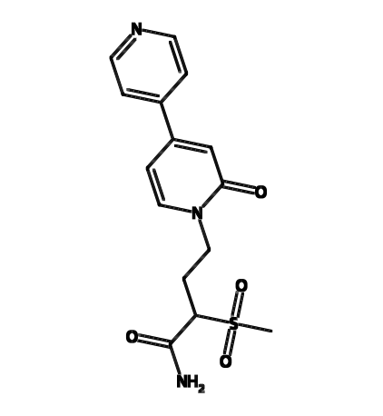 CS(=O)(=O)C(CCn1ccc(-c2ccncc2)cc1=O)C(N)=O